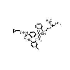 CCN(CC)CCCC(NS(=O)(=O)c1ccc(C(=O)NOCC2CC2)c(Nc2ccc(I)cc2C)c1)c1cccnc1